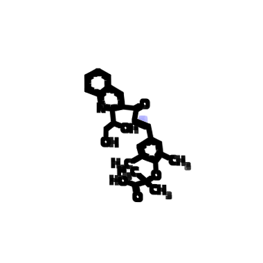 Cc1cc(/C=C/C(=O)c2cc3ccccc3nc2C(O)CO)cc(C)c1OC(C)(C)C(=O)O